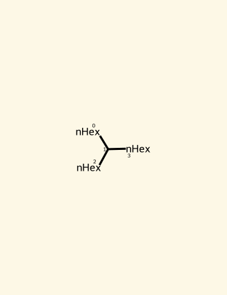 CCCCCCC(CCCCCC)CCCCCC